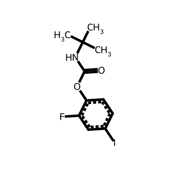 CC(C)(C)NC(=O)Oc1ccc(I)cc1F